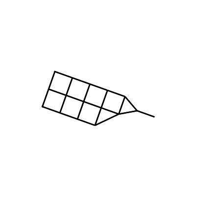 CC1C2C3C4C5CC6CC7C8C9C12C39C48C657